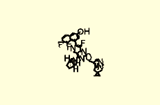 Oc1cc(-c2ncc3c(N4C[C@H]5CC[C@@H](C4)N5)nc(OCc4cnn5c4CC4(CC4)C5)nc3c2F)c2c(F)c(F)ccc2c1